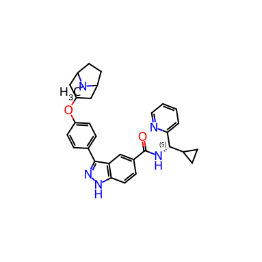 CN1C2CCC1CC(Oc1ccc(-c3n[nH]c4ccc(C(=O)N[C@H](c5ccccn5)C5CC5)cc34)cc1)C2